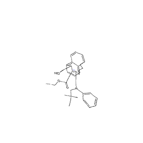 CCOC(=O)/C1=C(\N(CC(C)(C)C)c2ccccc2)CCCCc2cccc3c(cccc23)C1O